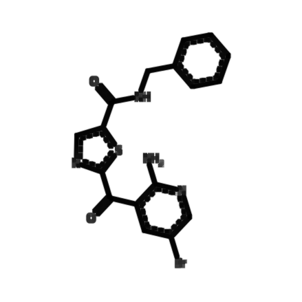 Nc1ncc(Br)cc1C(=O)c1ncc(C(=O)NCc2ccccc2)s1